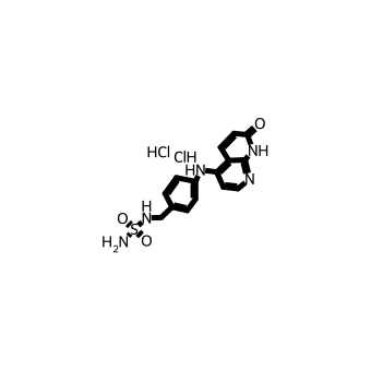 Cl.Cl.NS(=O)(=O)NCc1ccc(Nc2ccnc3[nH]c(=O)ccc23)cc1